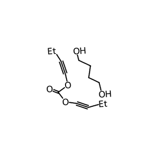 CCC#COC(=O)OC#CCC.OCCCCO